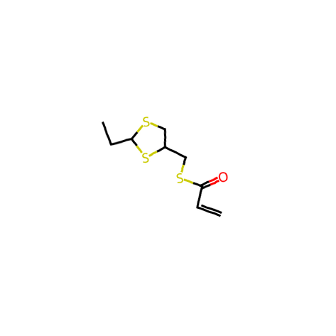 C=CC(=O)SCC1CSC(CC)S1